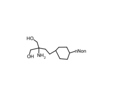 CCCCCCCCCC1CCC(CCC(N)(CO)CO)CC1